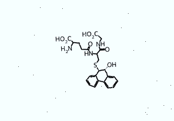 NC(CCC(=O)NC(CS[C@@H]1c2ccccc2-c2ccccc2[C@H]1O)C(=O)NCC(=O)O)C(=O)O